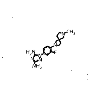 CN1CCC2(CCN(c3ccc(-n4nc(N)nc4N)cc3F)C2)C1